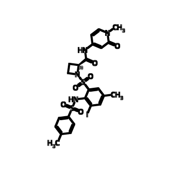 Cc1ccc(S(=O)(=O)Nc2c(I)cc(C)cc2S(=O)(=O)N2CC[C@H]2C(=O)Nc2ccn(C)c(=O)c2)cc1